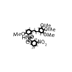 COc1ccc(C=Cc2cc(OC)c(OC)c(OC)c2)cc1NS(=O)(=O)c1cccc([N+](=O)[O-])c1